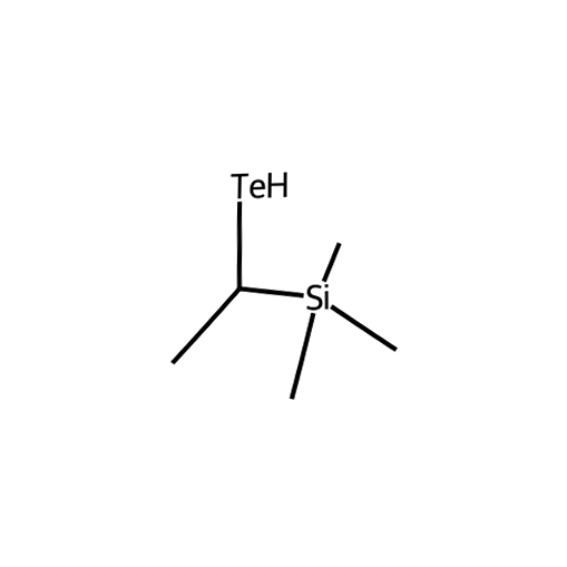 CC([TeH])[Si](C)(C)C